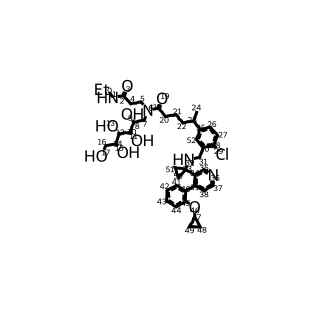 CCNC(=O)CCN(CC(O)C(O)C(O)C(O)CO)C(=O)CCCC(C)c1ccc(Cl)c(CNC2(c3cnccc3-c3ccccc3OC3CC3)CC2)c1